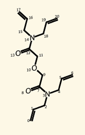 C=CCN(CC=C)C(=O)COCC(=O)N(CC=C)CC=C